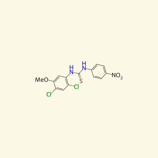 COc1cc(NC(=S)Nc2ccc([N+](=O)[O-])cc2)c(Cl)cc1Cl